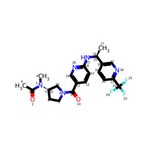 CC(=O)N(C)[C@H]1CCN(C(=O)c2ccc(N[C@@H](C)c3ccc(C(F)(F)F)nc3)nc2)C1